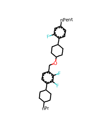 CCCCCc1ccc(C2CCC(OCc3ccc(C4CCC(CCC)CC4)c(F)c3F)CC2)c(F)c1